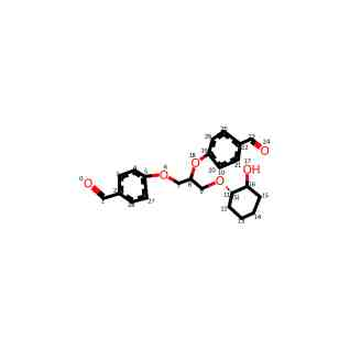 O=Cc1ccc(OCC(CO[C@H]2CCCCC2O)Oc2ccc(C=O)cc2)cc1